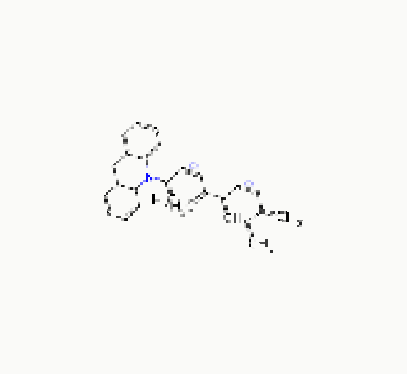 C=CC(=C)/C=C\C(=C)C(=C)/C=C\C(=C)N1c2ccccc2CC2C=CC=CC21